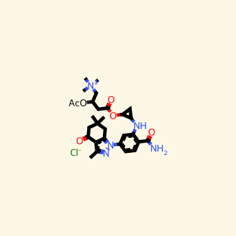 CC(=O)OC(CC(=O)OC1CC1Nc1cc(-n2nc(C)c3c2CC(C)(C)CC3=O)ccc1C(N)=O)C[N+](C)(C)C.[Cl-]